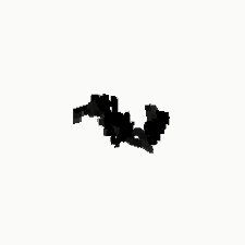 Cc1cc(F)c(-n2cnc3c(c2=O)SC(C)(c2cncc(F)c2)N3)cc1SCC(F)(F)F